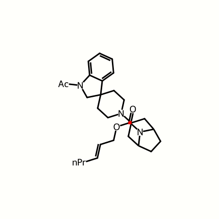 CCCC=CCOC(=O)N1C2CCC1CC(N1CCC3(CC1)CN(C(C)=O)c1ccccc13)C2